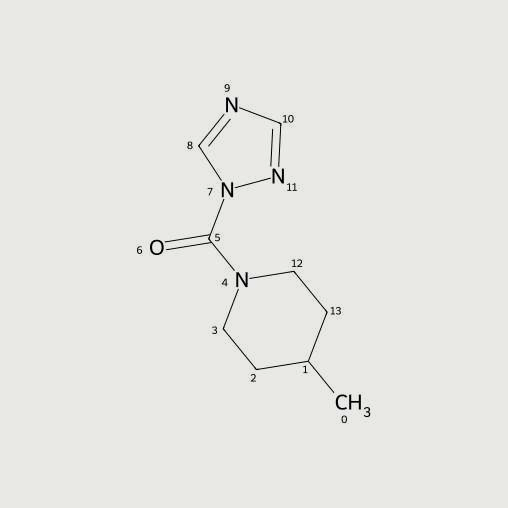 CC1CCN(C(=O)n2cncn2)CC1